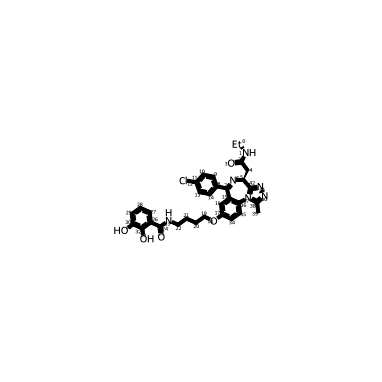 CCNC(=O)C[C@@H]1N=C(c2ccc(Cl)cc2)c2cc(OCCCCNC(=O)c3cccc(O)c3O)ccc2-n2c(C)nnc21